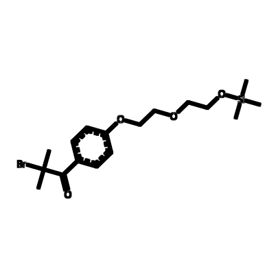 CC(C)(Br)C(=O)c1ccc(OCCOCCO[Si](C)(C)C)cc1